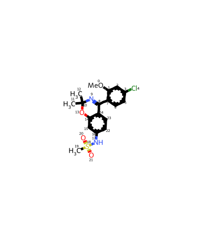 COc1cc(Cl)ccc1C1=NC(C)(C)Oc2cc(NS(C)(=O)=O)ccc21